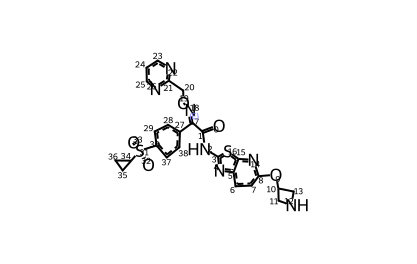 O=C(Nc1nc2ccc(OC3CNC3)nc2s1)/C(=N/OCc1ncccn1)c1ccc(S(=O)(=O)C2CC2)cc1